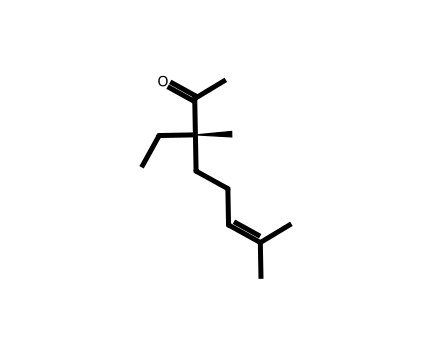 CC[C@@](C)(CCC=C(C)C)C(C)=O